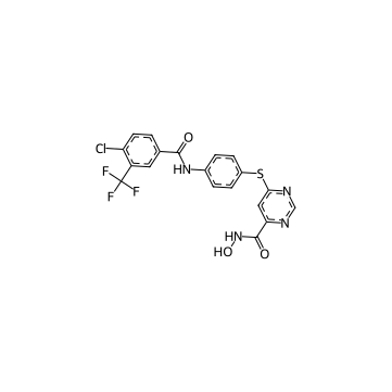 O=C(Nc1ccc(Sc2cc(C(=O)NO)ncn2)cc1)c1ccc(Cl)c(C(F)(F)F)c1